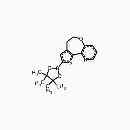 CC1(C)OB(c2cc3c(s2)-c2ncccc2OCC3)OC1(C)C